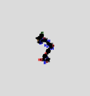 CC1=C(C)C2C(c3ccc(Cl)cc3)NC(CC(=O)C(C)(C)NCCC(C)(N)CC(C)(C)C(=O)C(C)(C)NCc3ccc(COc4ccc5c(c4)N(C)C(C(C)C)C(=O)N[C@H](CO)C5)cc3)c3nnc(C)n3C2S1